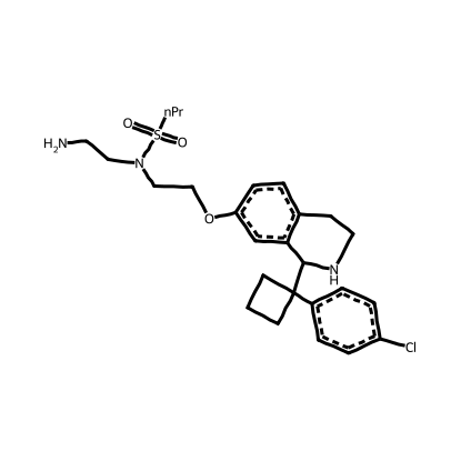 CCCS(=O)(=O)N(CCN)CCOc1ccc2c(c1)C(C1(c3ccc(Cl)cc3)CCC1)NCC2